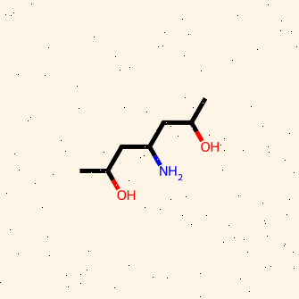 CC(O)CC(N)CC(C)O